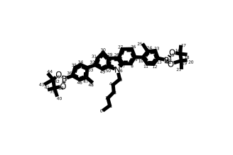 CCCCCCn1c2cc(-c3ccc(B4OC(C)(C)C(C)(C)O4)cc3C)ccc2c2ccc(-c3ccc(B4OC(C)(C)C(C)(C)O4)cc3C)cc21